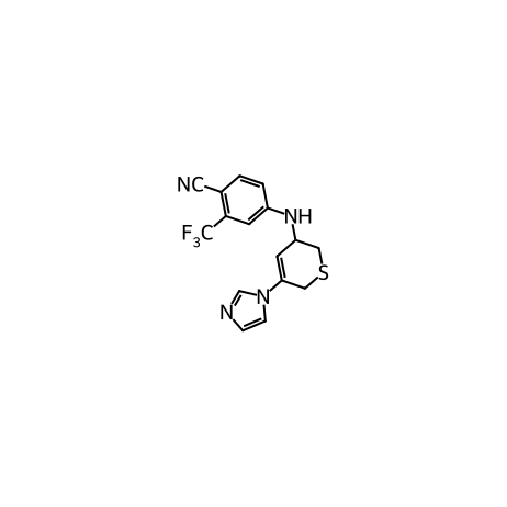 N#Cc1ccc(NC2C=C(n3ccnc3)CSC2)cc1C(F)(F)F